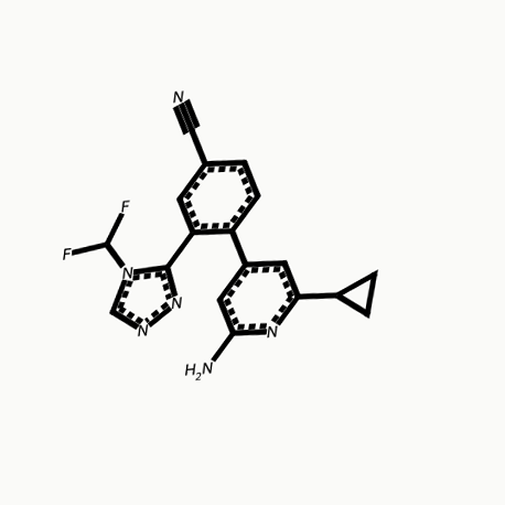 N#Cc1ccc(-c2cc(N)nc(C3CC3)c2)c(-c2nncn2C(F)F)c1